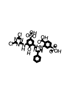 O=C(O)c1ccc(S(=O)(=O)O)cc1NN=C(N=Nc1cc(S(=O)(=O)O)cc(Nc2nc(Cl)nc(Cl)n2)c1O)c1ccccc1